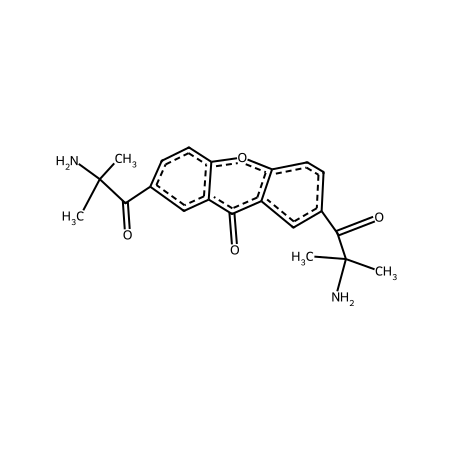 CC(C)(N)C(=O)c1ccc2oc3ccc(C(=O)C(C)(C)N)cc3c(=O)c2c1